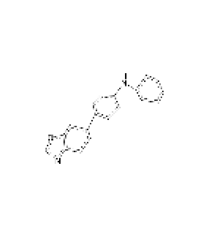 c1ccc(Nc2ccc(-c3ccc4ncoc4c3)cc2)cc1